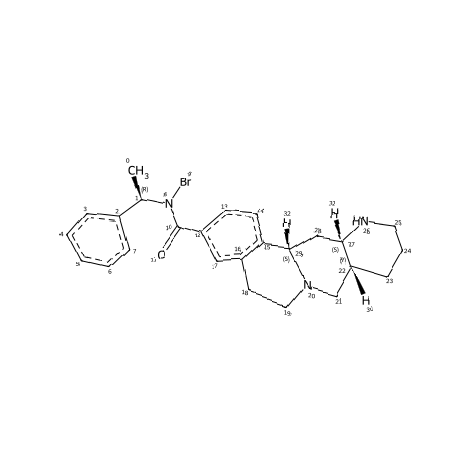 C[C@H](c1ccccc1)N(Br)C(=O)c1ccc2c(c1)CCN1C[C@H]3CCCN[C@H]3C[C@@H]21